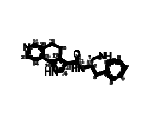 NC[C@H](Cc1ccccc1)NC(=O)c1c[nH]c2c1CCc1cnccc1-2